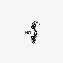 Cc1ccc2c(OCCN3CCC(Oc4cccc5c4OCC(=O)N5)CC3)cccc2n1.Cl